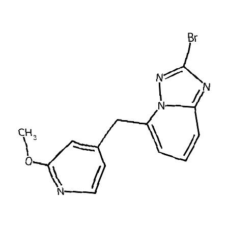 COc1cc(Cc2cccc3nc(Br)nn23)ccn1